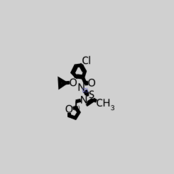 Cc1cn(C[C@H]2CCCO2)/c(=N/C(=O)c2cc(Cl)ccc2OC2CC2)s1